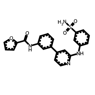 NS(=O)(=O)c1cccc(Nc2cc(-c3cccc(NC(=O)c4ccco4)c3)ccn2)c1